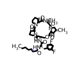 CCCC/C=C/C(=O)N[C@@H](Cc1cc(F)cc(F)c1)C(=O)N[C@H]1COC(=O)[C@@H]2C[C@@H](C)CN2C(=O)[C@H](C)NC(=O)[C@@H]2CCCCN2C(=O)[C@@H]2CCCN2C1=O